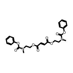 CN(CCOC(=O)/C=C/C(=O)OCCN(C)C(=O)Oc1ccccc1)C(=O)Oc1ccccc1